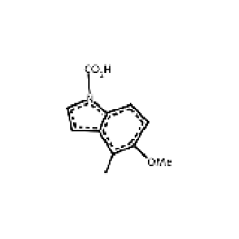 COc1ccc2c(ccn2C(=O)O)c1C